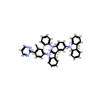 Cc1cc(-n2c3ccccc3c3c4cc(-n5c6ccccc6c6ccccc65)ccc4n(-c4ccccc4)c32)ccc1-c1ncccn1